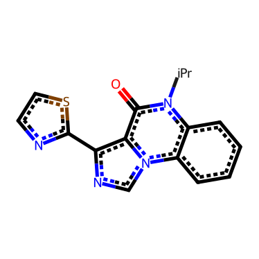 CC(C)n1c(=O)c2c(-c3nccs3)ncn2c2ccccc21